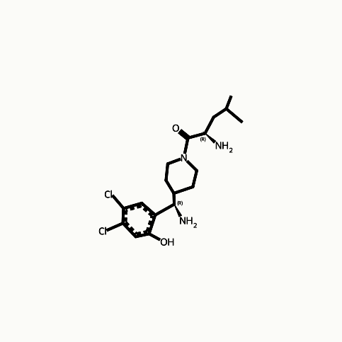 CC(C)C[C@@H](N)C(=O)N1CCC([C@@H](N)c2cc(Cl)c(Cl)cc2O)CC1